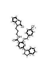 O=C(NCCCC1C(=O)Cn2cccc21)c1cnc(N2CCc3ccccc32)nc1OCc1ccc(C(F)(F)F)cc1